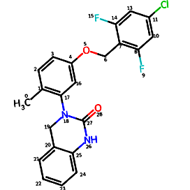 Cc1ccc(OCc2c(F)cc(Cl)cc2F)cc1N1Cc2ccccc2NC1=O